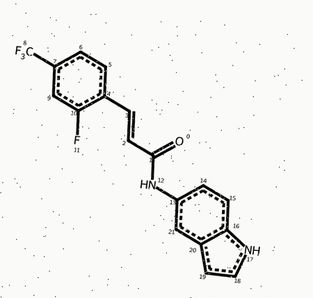 O=C(C=Cc1ccc(C(F)(F)F)cc1F)Nc1ccc2[nH]ccc2c1